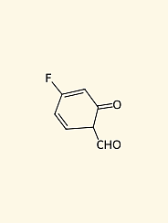 O=CC1C=CC(F)=CC1=O